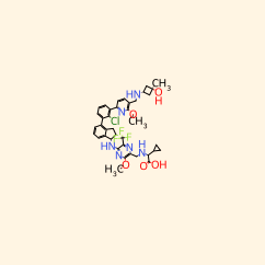 COc1nc(-c2cccc(-c3cccc4c3CC[C@@H]4Nc3nc(OC)c(CN[C@H](C(=O)O)C4CC4)nc3C(F)(F)F)c2Cl)ccc1CN[C@H]1C[C@](C)(O)C1